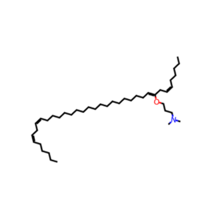 CCCCC/C=C\C/C=C\CCCCCCCCCCCCCCCCC/C=C(/C/C=C\CCCCC)OCCCN(C)C